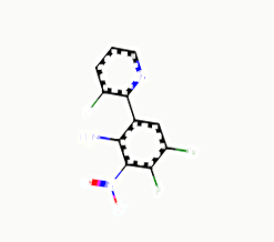 Nc1c(-c2ncccc2F)cc(Br)c(F)c1[N+](=O)[O-]